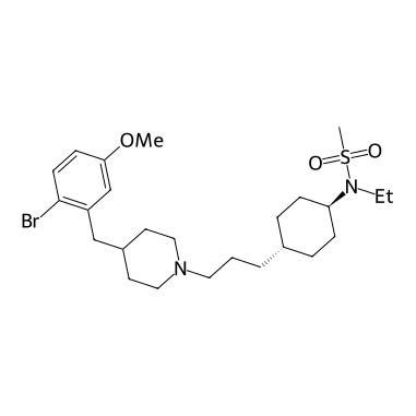 CCN([C@H]1CC[C@H](CCCN2CCC(Cc3cc(OC)ccc3Br)CC2)CC1)S(C)(=O)=O